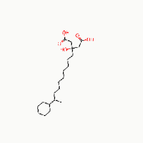 CC(CCCCCCCCC(O)(CC(=O)O)CC(=O)O)C1CCCCC1